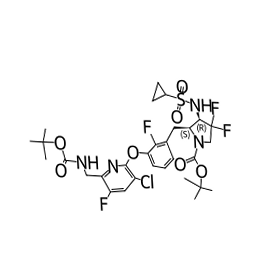 CC(C)(C)OC(=O)NCc1nc(Oc2cccc(C[C@H]3[C@@H](NS(=O)(=O)C4CC4)C(F)(F)CN3C(=O)OC(C)(C)C)c2F)c(Cl)cc1F